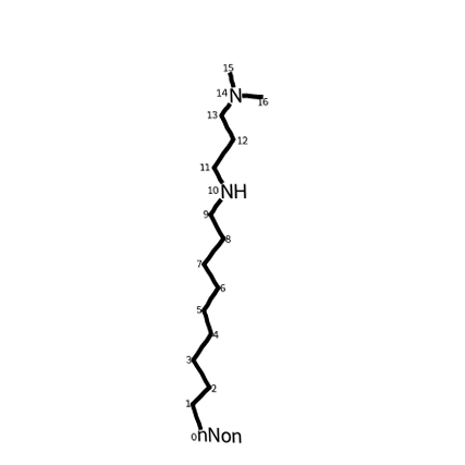 CCCCCCCCCCCCCCCCCCNCCCN(C)C